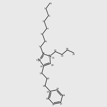 CCCCCCCCc1nc(CCCc2ccccc2)cn1CCCC